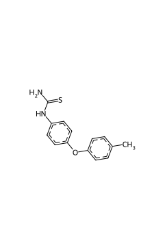 Cc1ccc(Oc2ccc(NC(N)=S)cc2)cc1